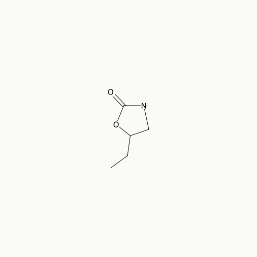 CCC1C[N]C(=O)O1